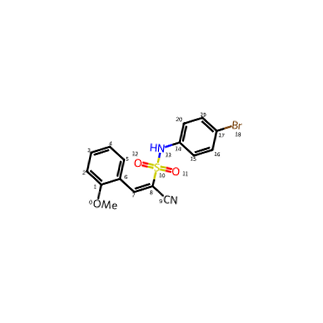 COc1ccccc1C=C(C#N)S(=O)(=O)Nc1ccc(Br)cc1